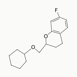 Fc1ccc2c(c1)OC(COC1CCCCC1)CC2